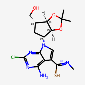 C/N=C(\S)c1cn([C@@H]2C[C@H](CO)[C@H]3OC(C)(C)O[C@H]32)c2nc(Cl)nc(N)c12